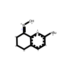 CCCCc1ccc2c(n1)/C(=N\O)CCC2